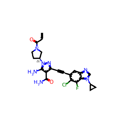 C=CC(=O)N1CC[C@H](n2nc(C#Cc3cc4ncn(C5CC5)c4c(F)c3Cl)c(C(N)=O)c2N)C1